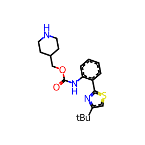 CC(C)(C)c1csc(-c2ccccc2NC(=O)OCC2CCNCC2)n1